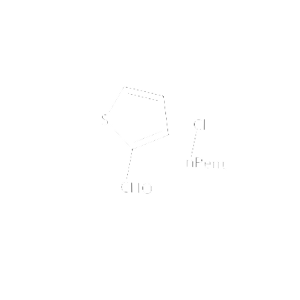 CCCCCCl.O=Cc1cccs1